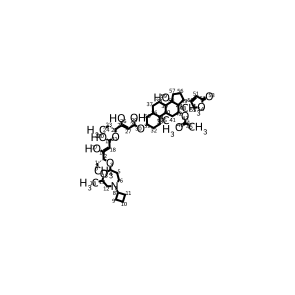 CC[C@@H](OC1CCN(C2CCC2)CC(C)O1)/C(O)=C/[C@@H](O)O[C@H](CC)/C(O)=C/[C@@H](O)O[C@H]1CC[C@@]2(C)C(CCC3C2C[C@H](OC(C)=O)[C@]2(C)[C@@H](C4=CC(=O)OC4)CC[C@]32O)C1